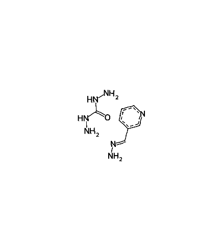 NN=Cc1cccnc1.NNC(=O)NN